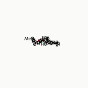 COc1ccc(C(=O)N2CCc3cc(C(=O)NC[C@@H](O)[C@@H]4Cc5ccc(OCc6ocnc6C)cc5CN4C(=O)OC(C)(C)C)ccc3C2)cc1